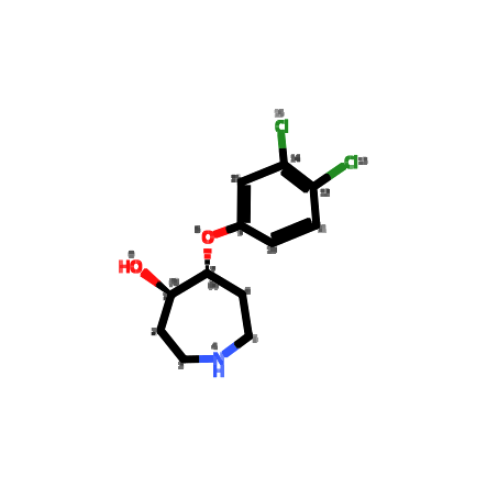 O[C@@H]1CCNCC[C@H]1Oc1ccc(Cl)c(Cl)c1